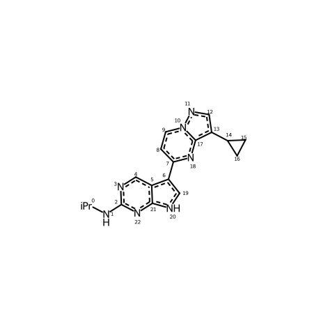 CC(C)Nc1ncc2c(-c3ccn4ncc(C5CC5)c4n3)c[nH]c2n1